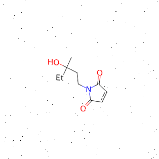 CCC(C)(O)CCN1C(=O)C=CC1=O